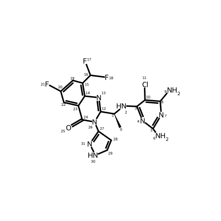 C[C@H](Nc1nc(N)nc(N)c1Cl)c1nc2c(C(F)F)cc(F)cc2c(=O)n1-c1cc[nH]n1